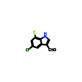 O=Cc1c[nH]c2c(F)cc(Cl)cc12